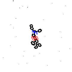 c1ccc(-c2cc(-c3ccc4ccccc4c3)nc(-c3ccc4c(c3)Oc3ccc5c(c3O4)-c3ccccc3C5(c3ccccc3)c3ccccc3)n2)cc1